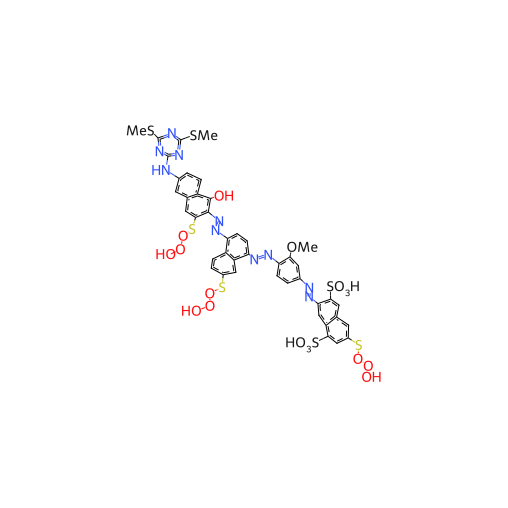 COc1cc(N=Nc2cc3c(S(=O)(=O)O)cc(SOOO)cc3cc2S(=O)(=O)O)ccc1N=Nc1ccc(N=Nc2c(SOOO)cc3cc(Nc4nc(SC)nc(SC)n4)ccc3c2O)c2ccc(SOOO)cc12